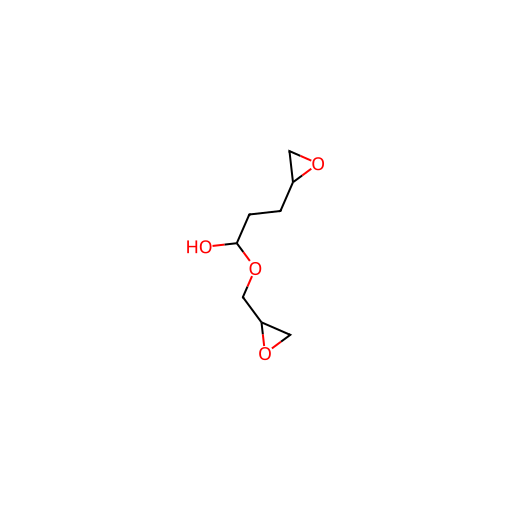 OC(CCC1CO1)OCC1CO1